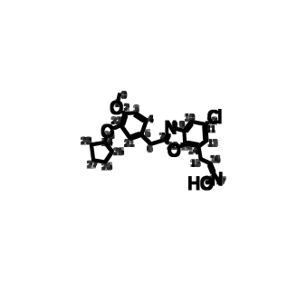 COc1ccc(Cc2nc3cc(Cl)cc(C/C=N\O)c3o2)cc1OC1CCCC1